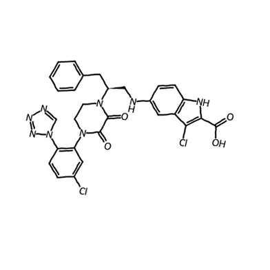 O=C(O)c1[nH]c2ccc(NC[C@H](Cc3ccccc3)N3CCN(c4cc(Cl)ccc4-n4cnnn4)C(=O)C3=O)cc2c1Cl